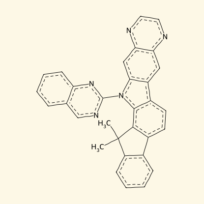 CC1(C)c2ccccc2-c2ccc3c4cc5nccnc5cc4n(-c4ncc5ccccc5n4)c3c21